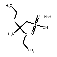 CCOC(N)(CS(=O)(=O)O)OCC.[NaH]